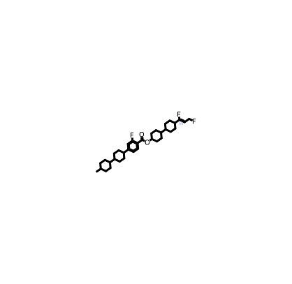 CC1CCC(C2CCC(c3ccc(C(=O)OC4CCC(C5CCC(/C(F)=C/CF)CC5)CC4)c(F)c3)CC2)CC1